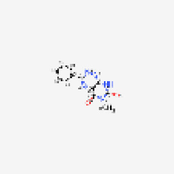 Cn1c(=O)[nH]c2nnc(-c3ccccc3)nc2c1=O